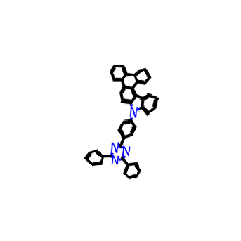 c1ccc(-c2nc(-c3ccccc3)nc(-c3ccc(-n4c5ccccc5c5c6c7ccccc7c7ccccc7c6ccc54)cc3)n2)cc1